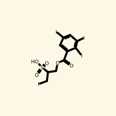 O=C(OCC(CI)S(=O)(=O)O)c1cc(I)cc(I)c1I